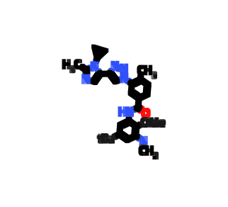 C=Nc1cc(C(C)(C)C)cc(NC(=O)c2ccc(C)c(-n3cc(-c4cnc(C)n4C4CC4)nn3)c2)c1OC